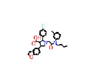 CCCCN(C(=O)CN1CC(c2ccc3occc3c2)C(C(=O)O)C1c1ccc(F)cc1)c1cccc(C)c1